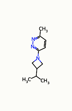 Cc1ccc(N2CC(C(C)C)C2)nn1